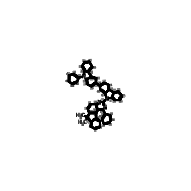 CC1(C)c2ccccc2-c2c1ccc1nc(-n3c4ccccc4c4ccc(-c5ccc6c(c5)c5ccccc5n6-c5ccccc5)cc43)nc(-c3ccccc3)c21